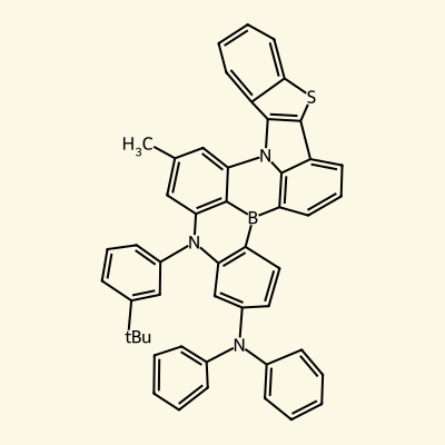 Cc1cc2c3c(c1)-n1c4c(cccc4c4sc5ccccc5c41)B3c1ccc(N(c3ccccc3)c3ccccc3)cc1N2c1cccc(C(C)(C)C)c1